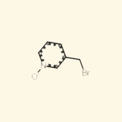 [O-][n+]1cccc(CBr)c1